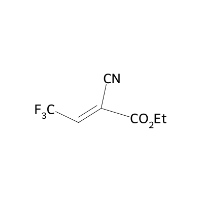 CCOC(=O)C(C#N)=CC(F)(F)F